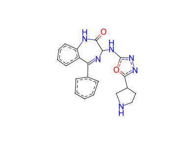 O=C1Nc2ccccc2C(c2ccccc2)=NC1Nc1nnc(C2CCNC2)o1